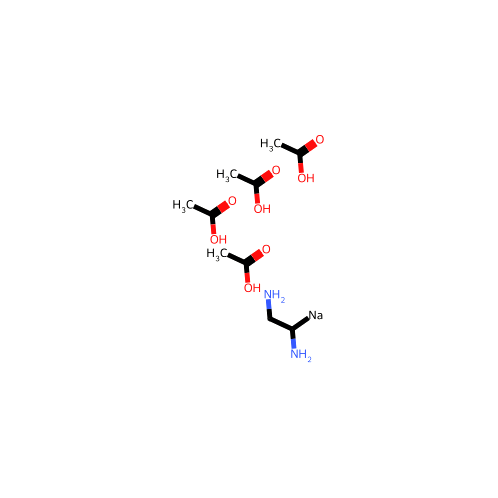 CC(=O)O.CC(=O)O.CC(=O)O.CC(=O)O.NC[CH](N)[Na]